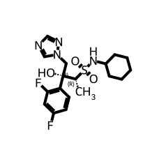 C[C@H]([C@](O)(Cn1cncn1)c1ccc(F)cc1F)S(=O)(=O)NC1CCCCC1